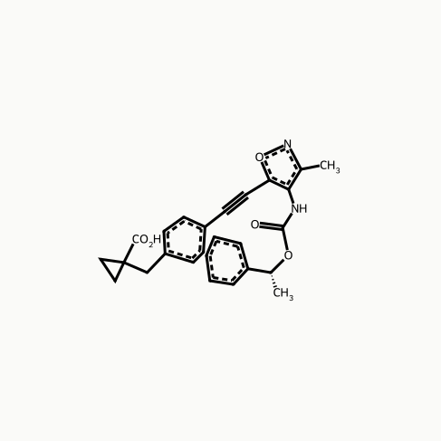 Cc1noc(C#Cc2ccc(CC3(C(=O)O)CC3)cc2)c1NC(=O)O[C@H](C)c1ccccc1